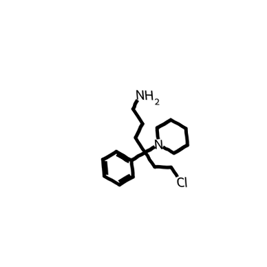 NCCCC(CCCl)(c1ccccc1)N1CCCCC1